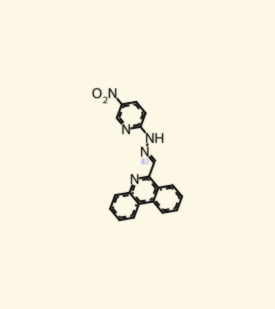 O=[N+]([O-])c1ccc(N/N=C/c2nc3ccccc3c3ccccc23)nc1